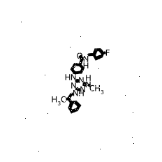 CNc1nc(NCC(C)c2ccccc2)nc(NC2CCC(C(=O)NCc3ccc(F)cc3)CC2)n1